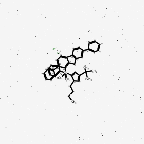 Cl.Cl.[CH2]=[Zr]([CH3])([C]1=CC(C(C)(C)C)=CC1CCCC)([c]1ccccc1)[c]1c(-c2ccccc2)ccc2c1Cc1cc(-c3ccccc3)ccc1-2